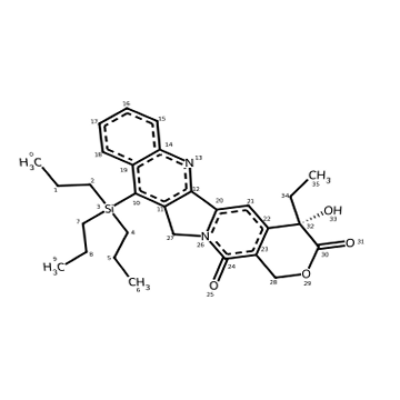 CCC[Si](CCC)(CCC)c1c2c(nc3ccccc13)-c1cc3c(c(=O)n1C2)COC(=O)[C@]3(O)CC